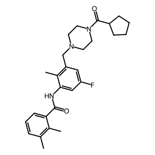 Cc1cccc(C(=O)Nc2cc(F)cc(CN3CCN(C(=O)C4CCCC4)CC3)c2C)c1C